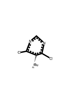 CC[C@@H](C)c1c(Cl)ncnc1Cl